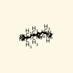 CC(C)(CCC(C)(C)c1cc(CC(C)(C)c2ncc[nH]2)sn1)c1cnsc1